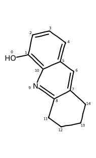 Oc1cccc2cc3c(nc12)CCCC3